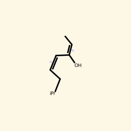 C/C=C(O)\C=C/CC(C)C